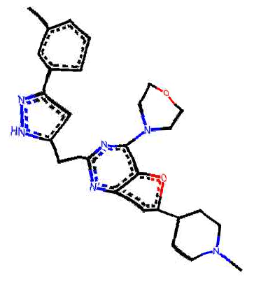 Cc1cccc(-c2cc(Cc3nc(N4CCOCC4)c4oc(C5CCN(C)CC5)cc4n3)[nH]n2)c1